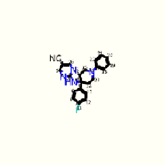 N#Cc1cnc(NC2(c3ccc(F)cc3)CCN(c3ccccc3)CC2)nc1